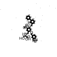 O=C(O)C(CO)NCc1cc([N+](=O)[O-])c(OCc2cccc(-c3ccccc3)c2F)cc1OCc1ccc2nonc2c1